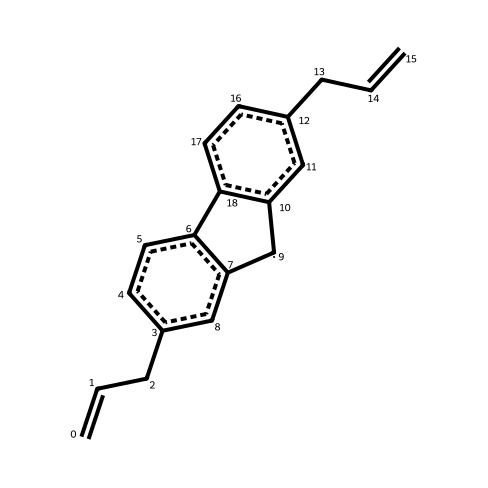 C=CCc1ccc2c(c1)[CH]c1cc(CC=C)ccc1-2